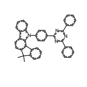 CC1(C)c2ccccc2-c2c1ccc1c3ccccc3n(-c3ccc(-c4nc(-c5ccccc5)nc(-c5ccccc5)n4)cc3)c21